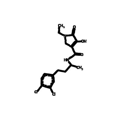 CCN1CC(C(=O)NC(C)CCc2ccc(Cl)c(Cl)c2)=C(O)C1=O